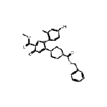 COC(=O)c1cn(-c2ccc(O)cc2C)c(C2CCN(C(=O)OCc3ccccc3)CC2)cc1=O